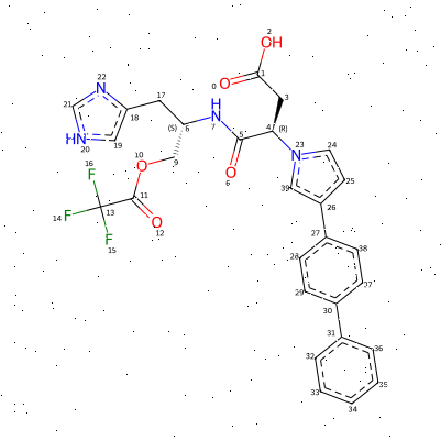 O=C(O)C[C@H](C(=O)N[C@H](COC(=O)C(F)(F)F)Cc1c[nH]cn1)n1ccc(-c2ccc(-c3ccccc3)cc2)c1